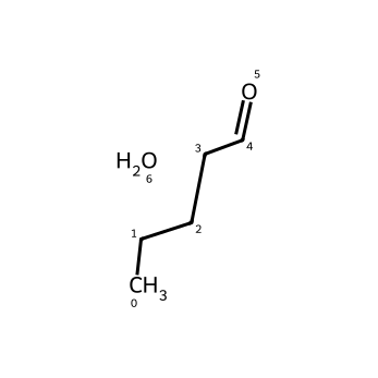 CCCCC=O.O